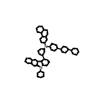 c1ccc(-c2ccc(-c3ccc(N(c4cccc(-c5cccc6c5c5cc7ccccc7cc5n6-c5ccccc5)c4)c4ccc5c(ccc6ccccc65)c4)cc3)cc2)cc1